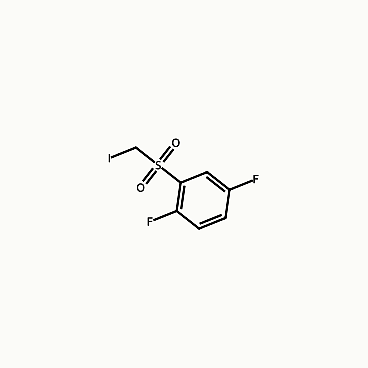 O=S(=O)(CI)c1cc(F)ccc1F